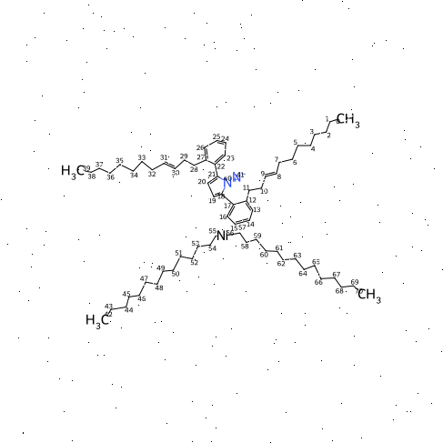 CCCCCCCCC=CCCc1ccccc1C1=CC=C(c2ccccc2CCC=CCCCCCCCC)[N+]1=[N-].CCCCCCCCCCCCC[CH2][Ni][CH2]CCCCCCCCCCCCC